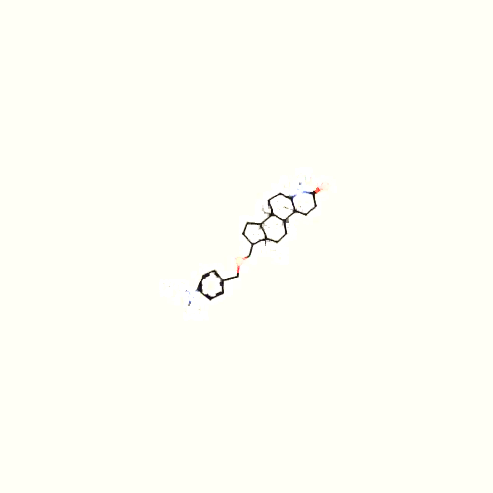 CN(C)c1ccc(COCC2CC[C@H]3[C@@H]4CC[C@H]5N(C)C(=O)CC[C@]5(C)[C@H]4CC[C@]23C)cc1